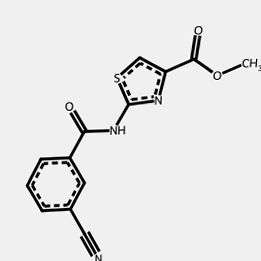 COC(=O)c1csc(NC(=O)c2cccc(C#N)c2)n1